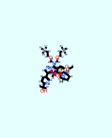 CCOC=Cc1c(C2C[C@H]3CC[C@@H](C2)N3C(=O)OC(C)(C)C)nc2c(-c3ccc(C(C)(C)O)nc3)cnn2c1N(COCC[Si](C)(C)C)COCC[Si](C)(C)C